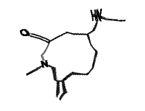 C=C1CCC(NC)CC(=O)N1C